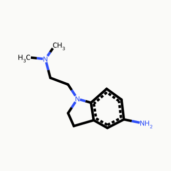 CN(C)CCN1CCc2cc(N)ccc21